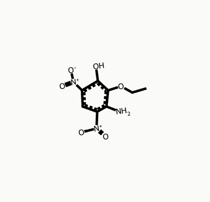 CCOc1c(N)c([N+](=O)[O-])cc([N+](=O)[O-])c1O